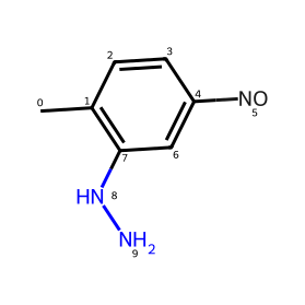 Cc1ccc(N=O)cc1NN